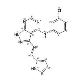 Clc1cccc(Nc2ncnc3[nH]nc(N=Cc4ccc[nH]4)c23)c1